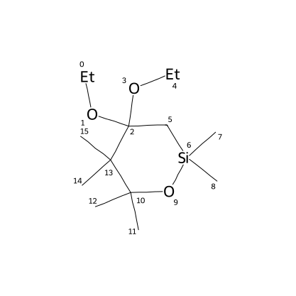 CCOC1(OCC)C[Si](C)(C)OC(C)(C)C1(C)C